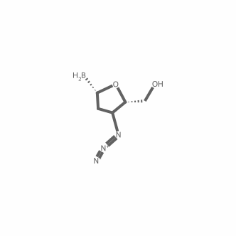 B[C@H]1CC(N=[N+]=[N-])[C@@H](CO)O1